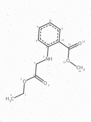 CCOC(=O)CNc1ccccc1C(=O)OC